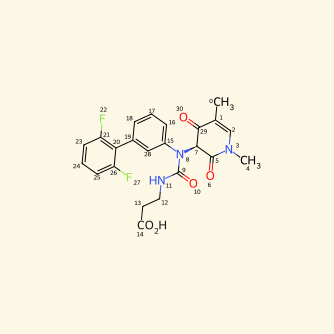 CC1=CN(C)C(=O)[C@@H](N(C(=O)NCCC(=O)O)c2cccc(-c3c(F)cccc3F)c2)C1=O